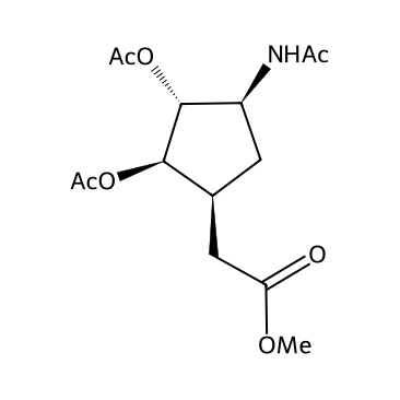 COC(=O)C[C@@H]1C[C@H](NC(C)=O)[C@@H](OC(C)=O)[C@@H]1OC(C)=O